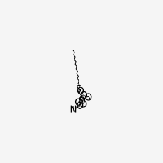 CCCCCCCCCCCCCCCCSOCC(COP(=O)([O-])OCC[N+](C)(C)C)OCOC